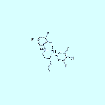 C/C=C/[C@@H]1CC[C@H]2c3cc(F)cc(F)c3CC[C@@H]2[C@H]1c1cc(F)c(Cl)c(F)c1